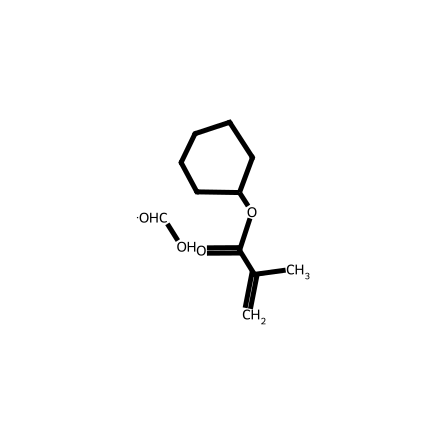 C=C(C)C(=O)OC1CCCCC1.O=[C]O